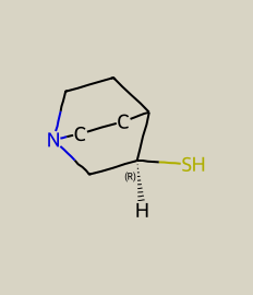 S[C@H]1CN2CCC1CC2